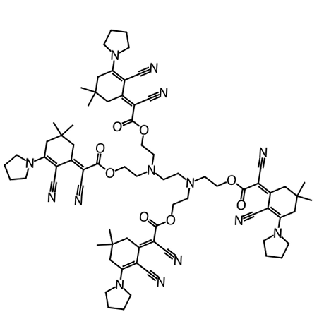 CC1(C)CC(N2CCCC2)=C(C#N)/C(=C(/C#N)C(=O)OCCN(CCOC(=O)/C(C#N)=C2\CC(C)(C)CC(N3CCCC3)=C2C#N)CCN(CCOC(=O)/C(C#N)=C2\CC(C)(C)CC(N3CCCC3)=C2C#N)CCOC(=O)/C(C#N)=C2\CC(C)(C)CC(N3CCCC3)=C2C#N)C1